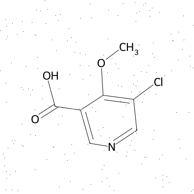 COc1c(Cl)cncc1C(=O)O